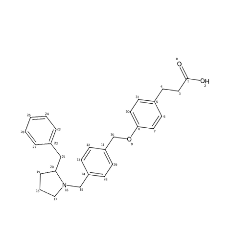 O=C(O)CCc1ccc(OCc2ccc(CN3CCCC3Cc3ccccc3)cc2)cc1